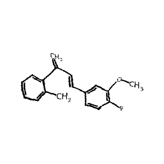 C=C(/C=C/c1ccc(F)c(OC)c1)c1ccccc1C